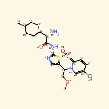 COCC(c1cnc(NC(=O)[C@@H](N)[C@H]2CC[C@H](C)CC2)s1)N1C=C(Cl)C=CC1=C=O